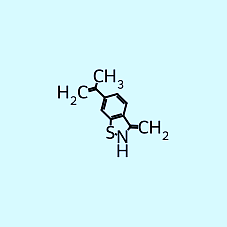 C=C(C)c1ccc2c(c1)SNC2=C